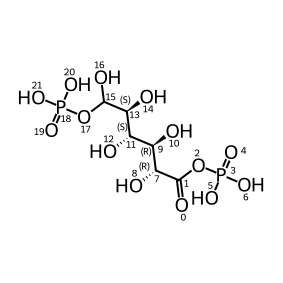 O=C(OP(=O)(O)O)[C@H](O)[C@H](O)[C@H](O)[C@H](O)C(O)OP(=O)(O)O